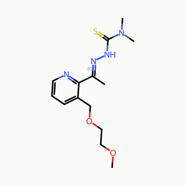 COCCOCc1cccnc1/C(C)=N/NC(=S)N(C)C